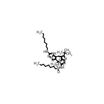 CCCCCCCCNc1nn2nc(C(C)(C)C)c(/C=c3/c(C(C)(C)C)nn4nc(NS(=O)(=O)CCCCCCCC)nc34)c2[nH]1